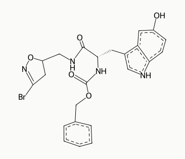 O=C(N[C@@H](Cc1c[nH]c2ccc(O)cc12)C(=O)NCC1CC(Br)=NO1)OCc1ccccc1